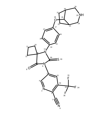 N#Cc1ncc(N2C(=O)C3(CCC3)N(c3ccc(OC4C5CCC4CNC5)cc3)C2=S)cc1C(F)(F)F